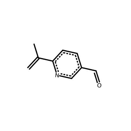 C=C(C)c1ccc(C=O)cn1